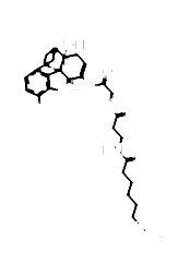 C[C@H](OC(=O)CCNC(=O)CCCCCN)C(=O)OC1=CC[C@@]2(O)[C@@H]3CCC[C@@]24c2c(ccc(O)c2O[C@@H]14)C3